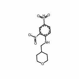 O=[N+]([O-])c1cc([SH](=O)=O)ccc1NCC1CCOCC1